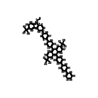 CCn1c2ccc(-c3ccc(-c4ccc(-c5c6ccc(C(C)(C)C)cc6c(-c6ccc(-c7ccc(-c8ccccc8)cc7)cc6)c6ccc(C(C)(C)C)cc56)cc4)cc3)cc2c2cc(C(C)(C)C)ccc21